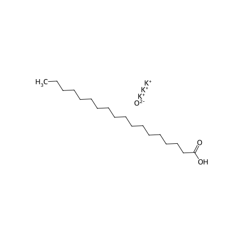 CCCCCCCCCCCCCCCCCC(=O)O.[K+].[K+].[K+].[O-2]